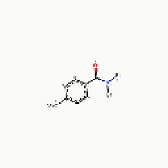 CCN(CC)C(=O)c1ccc(OC)cc1